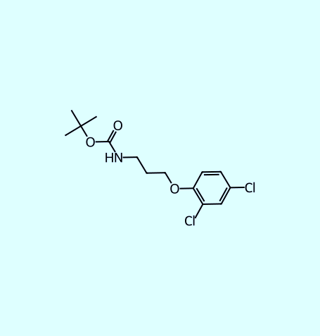 CC(C)(C)OC(=O)NCCCOc1ccc(Cl)cc1Cl